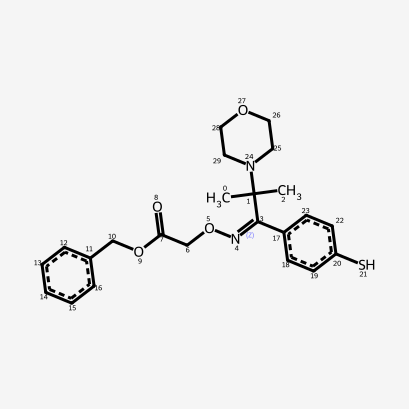 CC(C)(/C(=N\OCC(=O)OCc1ccccc1)c1ccc(S)cc1)N1CCOCC1